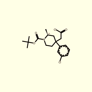 C[C@H]1CC(CC(=O)Cl)(c2cccc(Cl)c2)CCN1C(=O)OC(C)(C)C